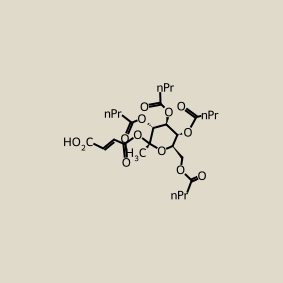 CCCC(=O)OC[C@H]1O[C@](C)(OC(=O)/C=C/C(=O)O)[C@H](OC(=O)CCC)[C@@H](OC(=O)CCC)[C@@H]1OC(=O)CCC